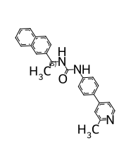 Cc1cc(-c2ccc(NC(=O)N[C@@H](C)c3ccc4ccccc4c3)cc2)ccn1